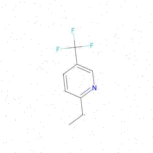 C[CH]c1ccc(C(F)(F)F)cn1